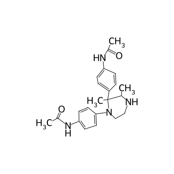 CC(=O)Nc1ccc(N2CCNC(C)C2(C)c2ccc(NC(C)=O)cc2)cc1